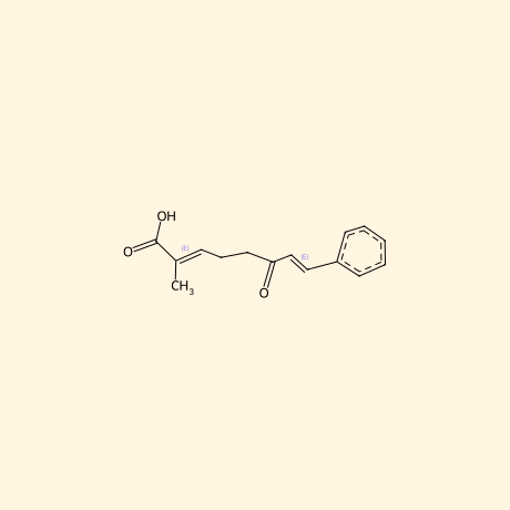 C/C(=C\CCC(=O)/C=C/c1ccccc1)C(=O)O